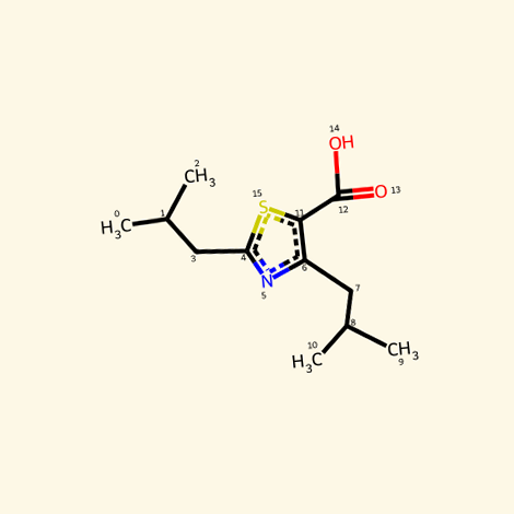 CC(C)Cc1nc(CC(C)C)c(C(=O)O)s1